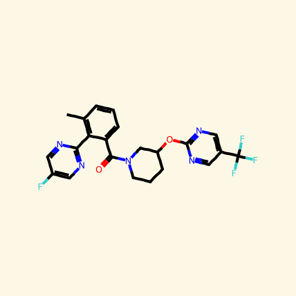 Cc1cccc(C(=O)N2CCCC(Oc3ncc(C(F)(F)F)cn3)C2)c1-c1ncc(F)cn1